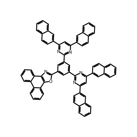 c1ccc2cc(-c3cc(-c4ccc5ccccc5c4)nc(-c4cc(-c5nc(-c6ccc7ccccc7c6)cc(-c6ccc7ccccc7c6)n5)cc(-c5nc6c7ccccc7c7ccccc7c6o5)c4)n3)ccc2c1